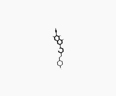 CCCC1CCC(CCc2ccc(-c3cc(F)c4c(F)c(C#CC(F)(F)F)c(F)cc4c3)nc2)CC1